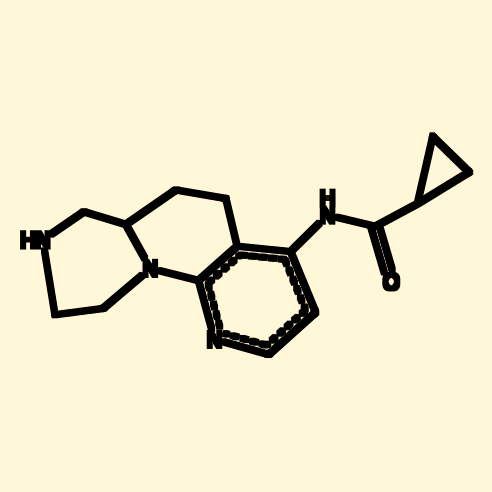 O=C(Nc1ccnc2c1CCC1CNCCN21)C1CC1